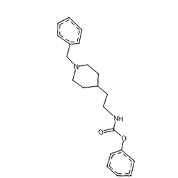 O=C(NCCC1CCN(Cc2ccccc2)CC1)Oc1ccccc1